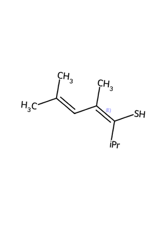 CC(C)=C/C(C)=C(/S)C(C)C